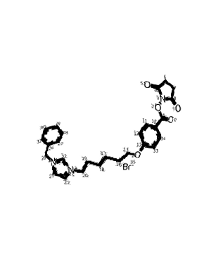 O=C(ON1C(=O)CCC1=O)c1ccc(OCCCCCC[n+]2ccn(Cc3ccccc3)c2)cc1.[Br-]